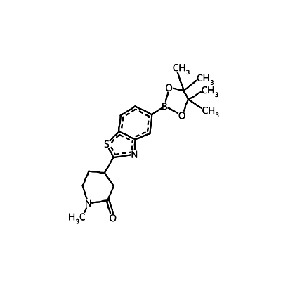 CN1CCC(c2nc3cc(B4OC(C)(C)C(C)(C)O4)ccc3s2)CC1=O